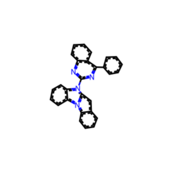 c1ccc(-c2nc(-n3c4ccccc4n4c5ccccc5cc34)nc3ccccc23)cc1